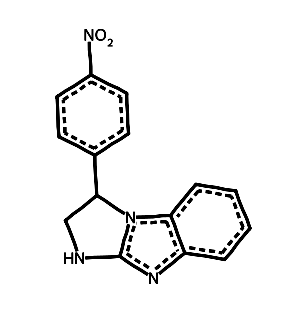 O=[N+]([O-])c1ccc(C2CNc3nc4ccccc4n32)cc1